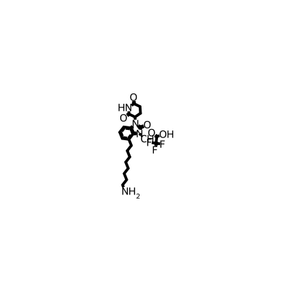 Cn1c(=O)n(C2CCC(=O)NC2=O)c2cccc(CCCCCCCCN)c21.O=C(O)C(F)(F)F